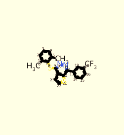 Cc1cccc(C)c1Sc1nnc(-c2cccc(C(F)(F)F)c2)c2sccc12